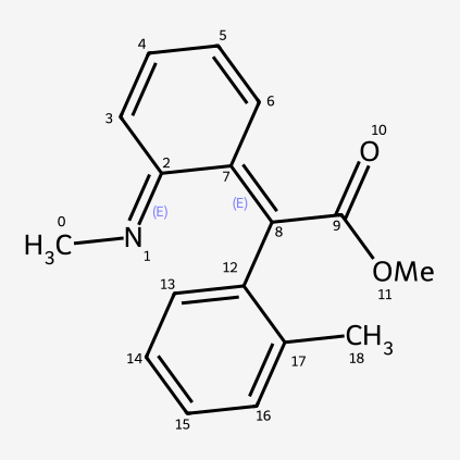 C/N=C1\C=CC=C\C1=C(/C(=O)OC)c1ccccc1C